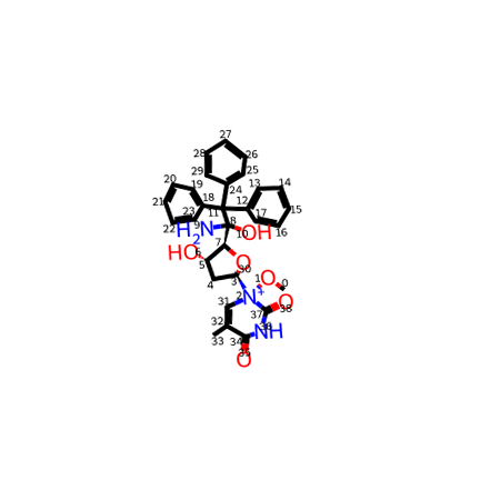 CO[N+]1([C@H]2C[C@H](O)[C@@H](C(N)(O)C(c3ccccc3)(c3ccccc3)c3ccccc3)O2)C=C(C)C(=O)NC1=O